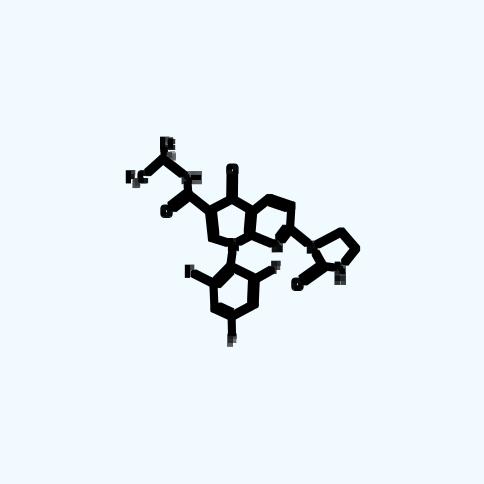 CC[C@H](NC(=O)c1cn(-c2c(F)cc(F)cc2F)c2nc(N3CCNC3=O)ccc2c1=O)C(F)(F)F